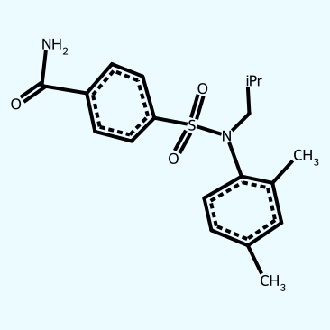 Cc1ccc(N(CC(C)C)S(=O)(=O)c2ccc(C(N)=O)cc2)c(C)c1